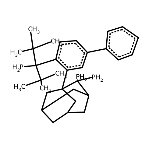 CC(C)(C)C(P)(c1ccc(-c2ccccc2)cc1C12CC3CC(CC(C3)C1(P)P)C2)C(C)(C)C